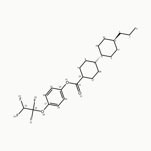 CCC[C@H]1CC[C@H](C2CCC(C(=O)Oc3ccc(OC(F)(F)C(F)F)cc3)CC2)CC1